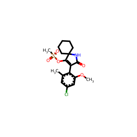 COc1cc(Cl)cc(C)c1C1=C(OS(C)(=O)=O)C2(CCCCC2)NC1=O